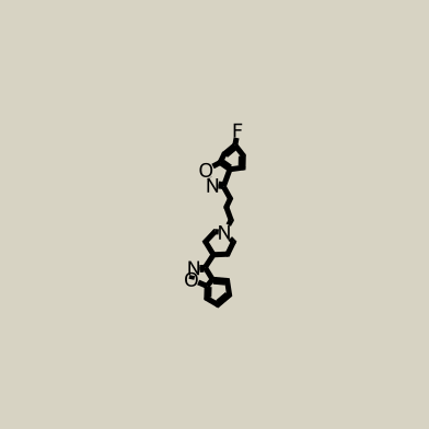 Fc1ccc2c(CCCN3CCC(c4noc5ccccc45)CC3)noc2c1